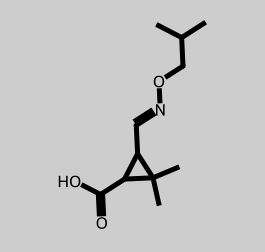 CC(C)CON=CC1C(C(=O)O)C1(C)C